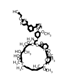 C#CCOc1ncc(-c2cccc(-c3cnnn3[C@H]3CC[C@@H](C[C@@H](N)[C@@H]4CC(=O)[C@H](C)/C=C(\C)[C@@H](O)[C@@H](O)C(=O)[C@H](C)C[C@H](C)/C=C/C=C/C=C(\C)[C@@H](OC)C[C@@H]5CC[C@@H](C)[C@@](O)(O5)C(=O)C(=O)N5CCCC[C@H]5C(=O)O4)C[C@H]3OC)c2)cn1